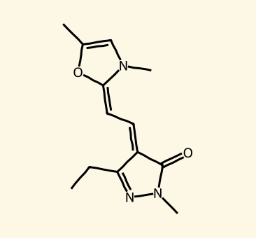 CCC1=NN(C)C(=O)/C1=C/C=C1/OC(C)=CN1C